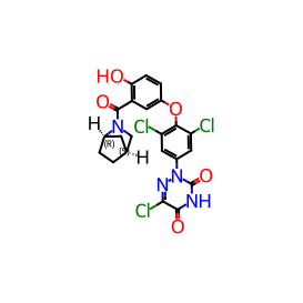 O=C(c1cc(Oc2c(Cl)cc(-n3nc(Cl)c(=O)[nH]c3=O)cc2Cl)ccc1O)N1C[C@H]2CC[C@@H]1C2